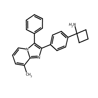 Cc1cccn2c(-c3ccccc3)c(-c3ccc(C4(N)CCC4)cc3)nc12